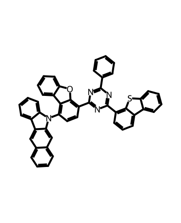 c1ccc(-c2nc(-c3ccc(-n4c5ccccc5c5cc6ccccc6cc54)c4c3oc3ccccc34)nc(-c3cccc4c3sc3ccccc34)n2)cc1